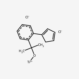 CC(C)([O][Ti+2])c1ccccc1C1=CC=CC1.[Cl-].[Cl-]